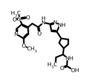 CCC(NC(=O)O)C1CCC(c2cc(NC(=O)Cc3cc(OC)ncc3S(C)(=O)=O)n[nH]2)C1